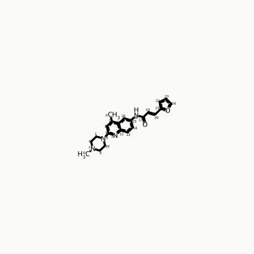 Cc1cc(N2CCN(C)CC2)nc2ccc(NC(=O)/C=C/c3ccco3)cc12